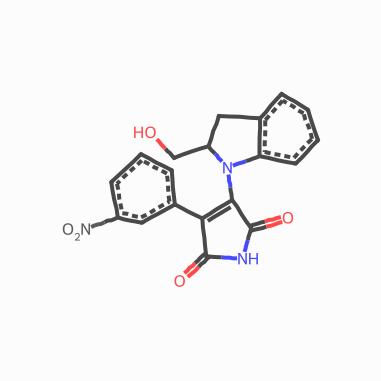 O=C1NC(=O)C(N2c3ccccc3CC2CO)=C1c1cccc([N+](=O)[O-])c1